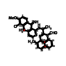 COc1ccc(C(=N)c2c(N)ncnc2NC(C)/C(=N/c2ccccc2C)N(C=O)c2ccccc2)c(F)c1Cl